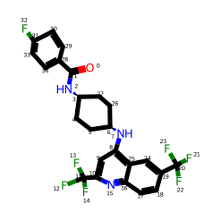 O=C(N[C@H]1CC[C@@H](Nc2cc(C(F)(F)F)nc3ccc(C(F)(F)F)cc23)CC1)c1ccc(F)cc1